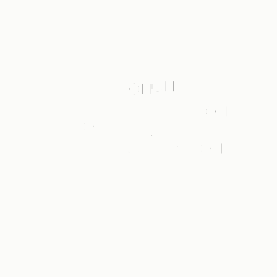 OCC1(O)CCCC(CO)(c2ccccc2)C1(CO)CO